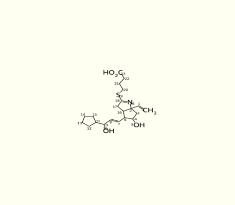 C=CC12CC(O)C(C=CC(O)C3CCCC3)C1CC(SCCCC(=O)O)=N2